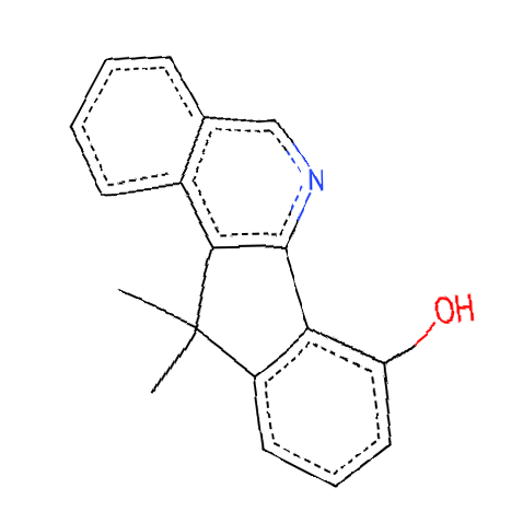 CC1(C)c2cccc(O)c2-c2ncc3ccccc3c21